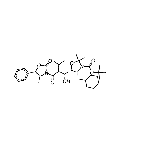 CC(C)C(C(=O)N1C(=O)OC(c2ccccc2)C1C)C(O)[C@@H]1OC(C)(C)N(C(=O)OC(C)(C)C)[C@@H]1CC1CCCCC1